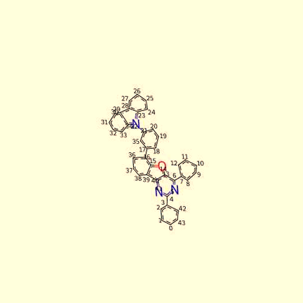 c1ccc(-c2nc(-c3ccccc3)c3oc4c(-c5cccc(-n6c7ccccc7c7ccccc76)c5)cccc4c3n2)cc1